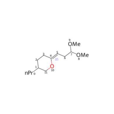 CCCC1CC/C(=C/CC(OC)OC)OC1